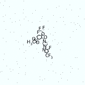 CS(=O)(=O)c1ccc(O[C@@H](CF)C(F)F)c(C(=O)N2CCN(c3ncc(C(F)(F)F)cc3F)CC2)c1